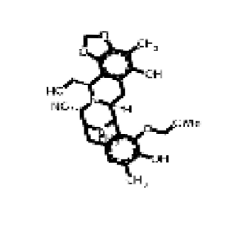 COCOc1c(O)c(C)cc2c1C1[C@@H]3Cc4c(O)c(C)c5c(c4[C@H](CO)N3[C@@H](C#N)C(C2)N1C)OCO5